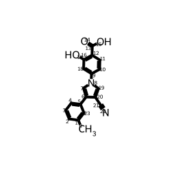 Cc1cccc(-c2cn(-c3ccc(C(=O)O)c(O)c3)cc2C#N)c1